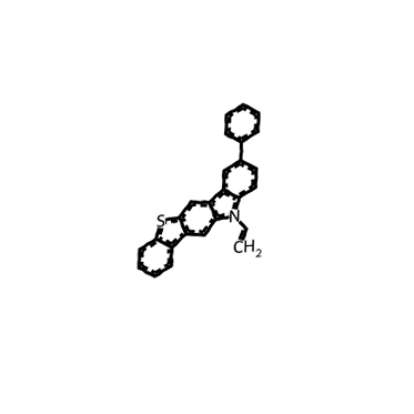 C=Cn1c2ccc(-c3ccccc3)cc2c2cc3sc4ccccc4c3cc21